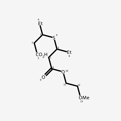 CCC(CC(=O)O)SC(CC)CC(=O)OCCOC